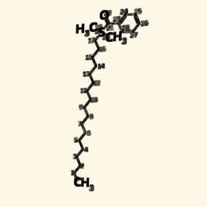 CCCCCCCCCCCCCCCCCCS(C)(C)C(=O)c1ccccc1